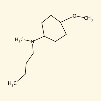 CCCCN(C)C1CCC(OC)CC1